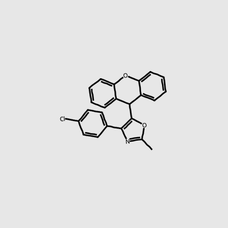 Cc1nc(-c2ccc(Cl)cc2)c(C2c3ccccc3Oc3ccccc32)o1